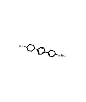 CCCCCCCC1CC=C(c2ccc([C@H]3CC[C@H](CCCC)CC3)cc2)CC1